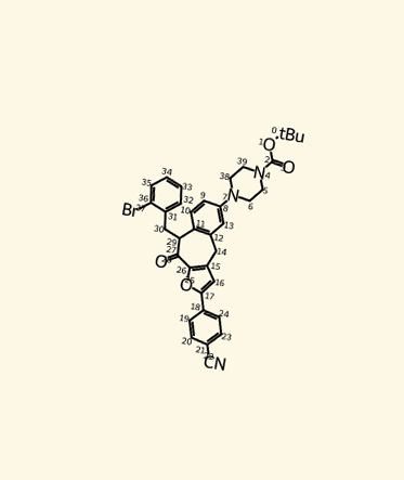 CC(C)(C)OC(=O)N1CCN(c2ccc3c(c2)Cc2cc(-c4ccc(C#N)cc4)oc2C(=O)C3Cc2ccccc2Br)CC1